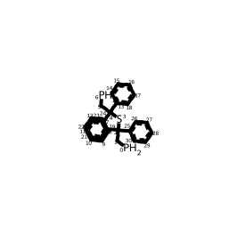 PCC(SC(CP)(c1ccccc1)c1ccccc1)(c1ccccc1)c1ccccc1